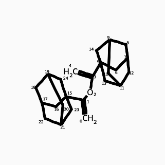 C=C(OC(=C)C12CC3CC(CC(C3)C1)C2)C12CC3CC(CC(C3)C1)C2